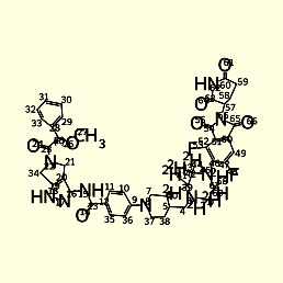 [2H]C1([2H])N(CC2CCN(c3ccc(C(=O)Nc4n[nH]c5c4CN(C(=O)[C@H](OC)c4ccccc4)C5)cc3)CC2)C([2H])([2H])C([2H])([2H])N(c2c(F)cc3c(c2F)C(=O)N(C2CCC(=O)NC2=O)C3=O)C1([2H])[2H]